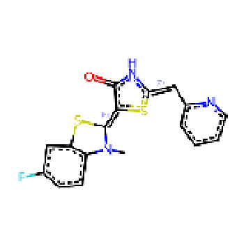 CN1/C(=c2\s/c(=C\c3ccccn3)[nH]c2=O)Sc2cc(F)ccc21